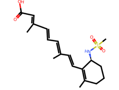 CC1=C(/C=C/C(C)=C/C=C/C(C)=C/C(=O)O)[C@@H](NS(C)(=O)=O)CCC1